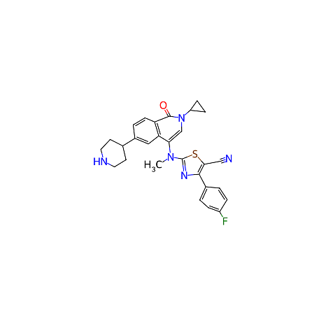 CN(c1nc(-c2ccc(F)cc2)c(C#N)s1)c1cn(C2CC2)c(=O)c2ccc(C3CCNCC3)cc12